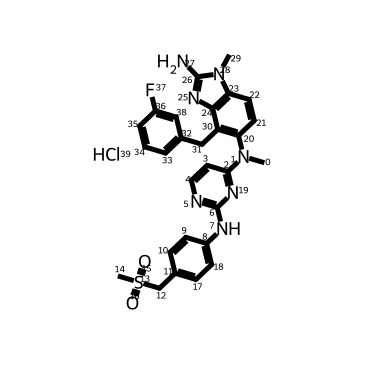 CN(c1ccnc(Nc2ccc(CS(C)(=O)=O)cc2)n1)c1ccc2c(nc(N)n2C)c1Cc1cccc(F)c1.Cl